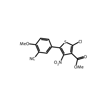 COC(=O)c1c(Cl)sc(-c2ccc(OC)c(C#N)c2)c1[N+](=O)[O-]